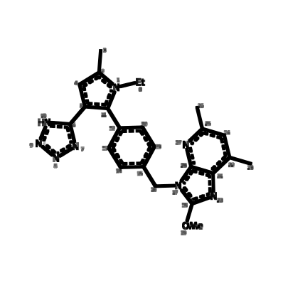 CCn1c(C)cc(-c2nnn[nH]2)c1-c1ccc(Cn2c(OC)nc3c(C)cc(C)nc32)cc1